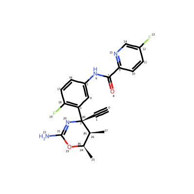 C#C[C@]1(c2cc(NC(=O)c3ccc(F)cn3)ccc2F)N=C(N)O[C@H](C)[C@@H]1C